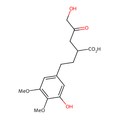 COc1cc(CCC(CC(=O)CO)C(=O)O)cc(O)c1OC